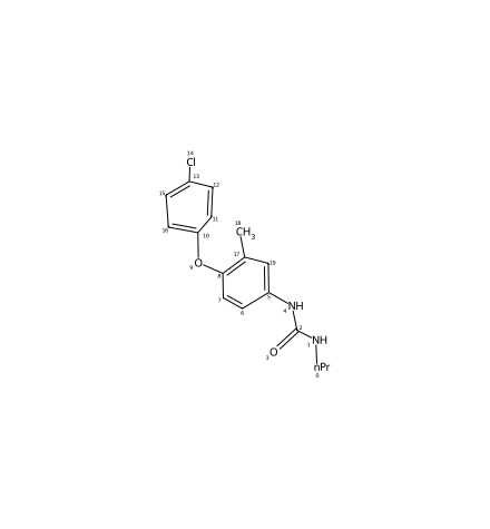 CCCNC(=O)Nc1ccc(Oc2ccc(Cl)cc2)c(C)c1